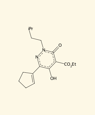 CCOC(=O)c1c(O)c(C2=CCCC2)nn(CCC(C)C)c1=O